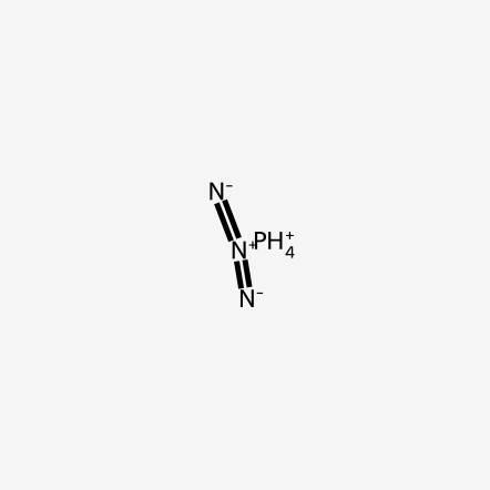 [N-]=[N+]=[N-].[PH4+]